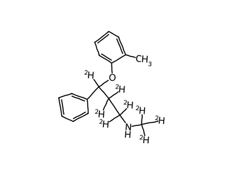 [2H]C([2H])([2H])NC([2H])([2H])C([2H])([2H])C([2H])(Oc1ccccc1C)c1ccccc1